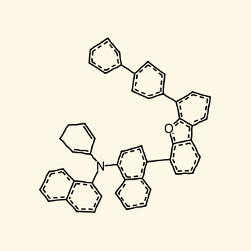 C1=CC(N(c2cccc3ccccc23)c2ccc(-c3cccc4c3oc3c(-c5ccc(-c6ccccc6)cc5)cccc34)c3ccccc23)=CCC1